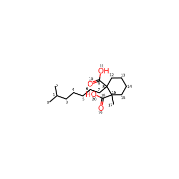 CC(C)CCCCCC1(C(=O)O)CCCCC1(C)C(=O)O